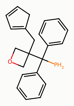 PC(c1ccccc1)(c1ccccc1)C1(CC2=CC=CC2)COC1